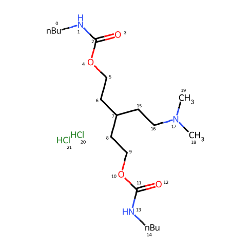 CCCCNC(=O)OCCC(CCOC(=O)NCCCC)CCN(C)C.Cl.Cl